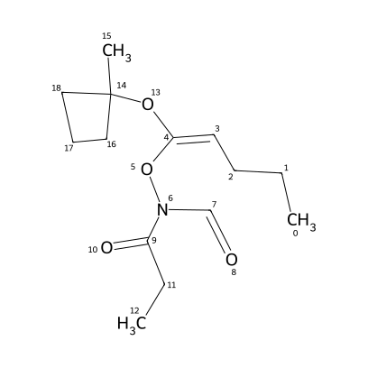 CCC/C=C(\ON(C=O)C(=O)CC)OC1(C)CCC1